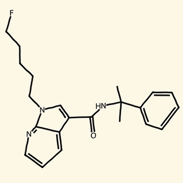 CC(C)(NC(=O)c1cn(CCCCCF)c2ncccc12)c1ccccc1